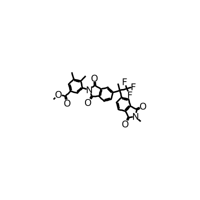 COC(=O)c1cc(C)c(C)c(N2C(=O)c3ccc(C(C)(c4ccc5c(c4)C(=O)N(C)C5=O)C(F)(F)F)cc3C2=O)c1